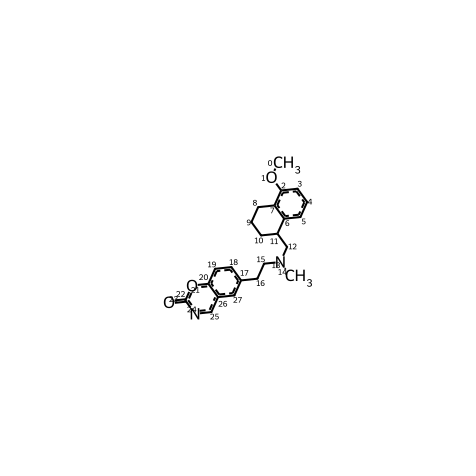 COc1cccc2c1CCCC2CN(C)CCc1ccc2oc(=O)ncc2c1